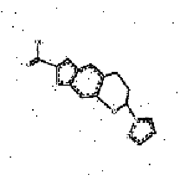 O=C(O)c1cc2cc3c(cc2s1)OC(n1cccn1)CC3